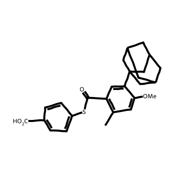 COc1cc(C)c(C(=O)Sc2ccc(C(=O)O)cc2)cc1C12CC3CC(CC(C3)C1)C2